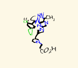 CC(=N)c1ncc(N2CC(C3CCCN(CCC(=O)O)C3)C2)nc1N[C@H](C)c1ccc(Cl)cc1Cl